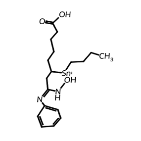 CCC[CH2][Sn][CH](CCCCC(=O)O)CC(=Nc1ccccc1)NO